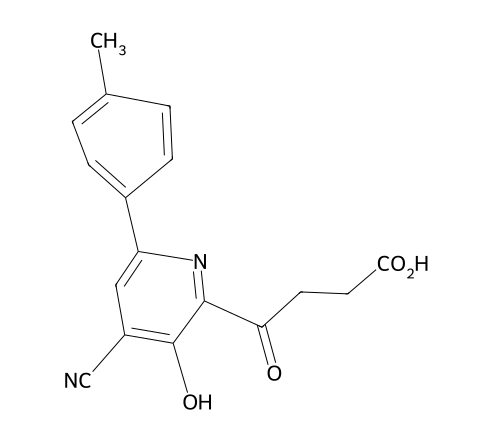 Cc1ccc(-c2cc(C#N)c(O)c(C(=O)CCC(=O)O)n2)cc1